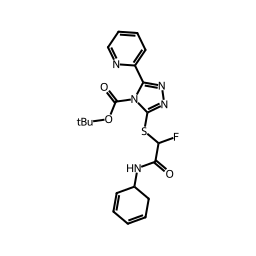 CC(C)(C)OC(=O)n1c(SC(F)C(=O)NC2C=CC=CC2)nnc1-c1ccccn1